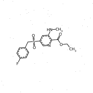 CCOC(=O)c1ncc(S(=O)(=O)Cc2ccc(F)cc2)cc1NC